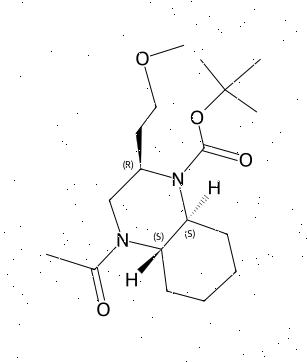 COCC[C@@H]1CN(C(C)=O)[C@H]2CCCC[C@@H]2N1C(=O)OC(C)(C)C